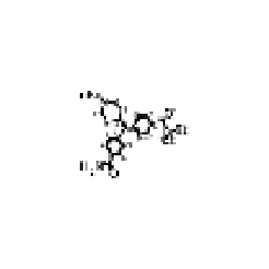 CCCCN1CCC(=C(c2ccc(C(N)=O)cc2)c2ccc(C(=O)N(CC)CC)cc2)CC1